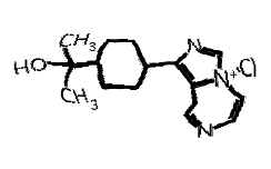 CC(C)(O)C1CCC(C2=C3C=NC=C[N+]3(Cl)C=N2)CC1